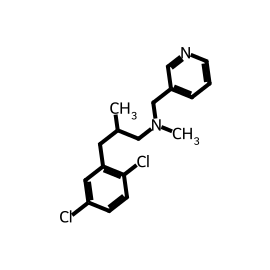 CC(Cc1cc(Cl)ccc1Cl)CN(C)Cc1cccnc1